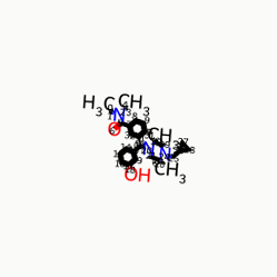 CCN(CC)C(=O)c1cccc([C@H](c2cccc(O)c2)N2C[C@@H](C)N(CC3CC3)C[C@@H]2C)c1